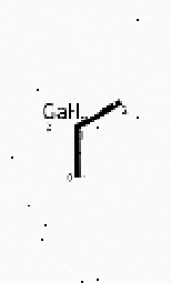 [CH2]CC.[GaH3]